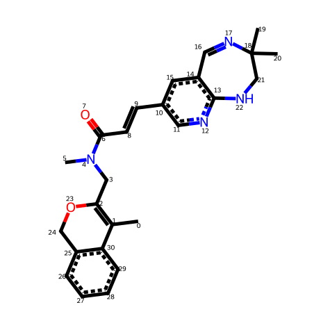 CC1=C(CN(C)C(=O)/C=C/c2cnc3c(c2)C=NC(C)(C)CN3)OCc2ccccc21